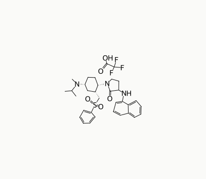 CC(C)N(C)[C@@H]1CC[C@H](N2CCC(Nc3cccc4ccccc34)C2=O)[C@H](CS(=O)(=O)c2ccccc2)C1.O=C(O)C(F)(F)F